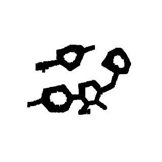 CC1C(O)C(c2ccc(F)cc2)=CCN1Cc1ccccc1.Cc1ccc(S(=O)(=O)O)cc1